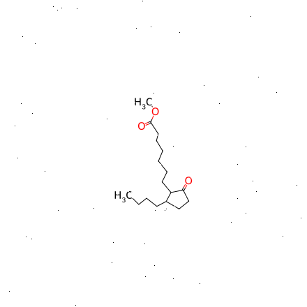 CCCCC1CCC(=O)C1CCCCCCC(=O)OC